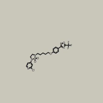 O=S1(=O)N(CCCCCOc2ccc(-c3noc(C(F)(F)F)n3)cc2)CCN1c1ccnc(Cl)c1